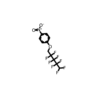 O=[N+]([O-])c1ccc(OCC(F)(F)C(F)(F)C(F)(F)C(F)F)cc1